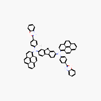 CC1(C)c2cc(N(c3ccc(-c4nc5ccccc5o4)cc3)c3ccc4ccc5cccc6ccc3c4c56)ccc2-c2ccc(N(c3ccc(-c4nc5ccccc5o4)cc3)c3ccc4ccc5cccc6ccc3c4c56)cc21